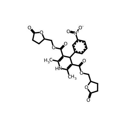 CC1=C(C(=O)OCC2CCC(=O)O2)C(c2cccc([N+](=O)[O-])c2)C(C(=O)OCC2CCC(=O)O2)=C(C)N1